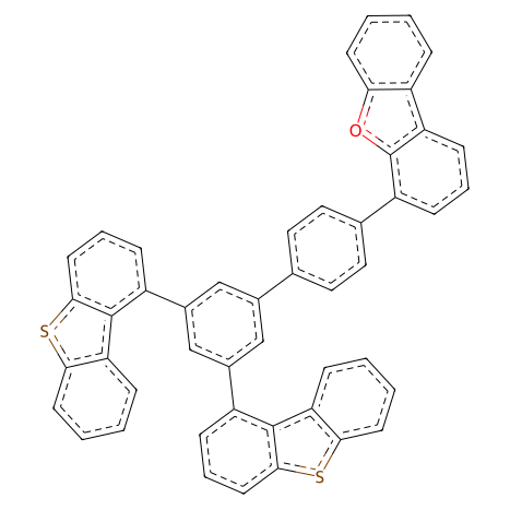 c1ccc2c(c1)oc1c(-c3ccc(-c4cc(-c5cccc6sc7ccccc7c56)cc(-c5cccc6sc7ccccc7c56)c4)cc3)cccc12